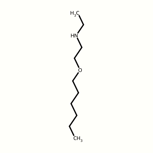 CCCCCCOCCNCC